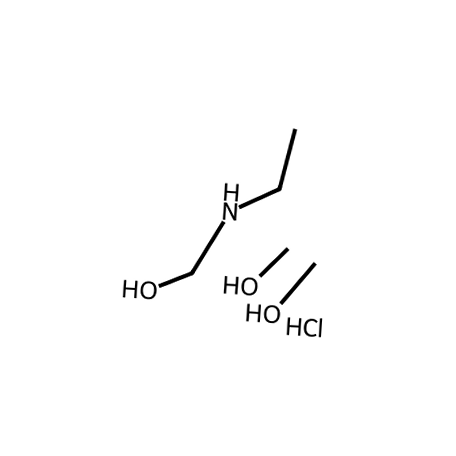 CCNCO.CO.CO.Cl